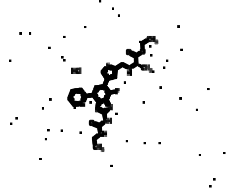 CCNC(=O)Nc1nc2c(F)c(-c3csc(CN[C@@H](C)C(=O)OCC)c3)cc(-c3ccccn3)c2s1.Cl